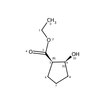 CCOC(=O)[C@@H]1CCC[C@@H]1O